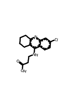 O=C(O)CCNc1c2c(nc3cc(Cl)ccc13)CCCC2